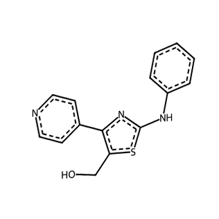 OCc1sc(Nc2ccccc2)nc1-c1ccncc1